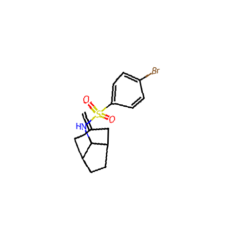 C=C1CC2CCC(C1)C2NS(=O)(=O)c1ccc(Br)cc1